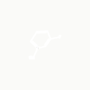 CC(C)(C)[n+]1cccc(F)c1